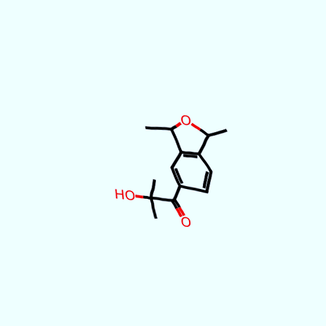 CC1OC(C)c2cc(C(=O)C(C)(C)O)ccc21